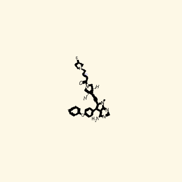 Cn1c(C#CC2[C@H]3CN(C(=O)/C=C/CN4CCC(F)C4)C[C@@H]23)c(-c2ccc(Oc3ccccc3)cc2)c2c(N)ncnc21